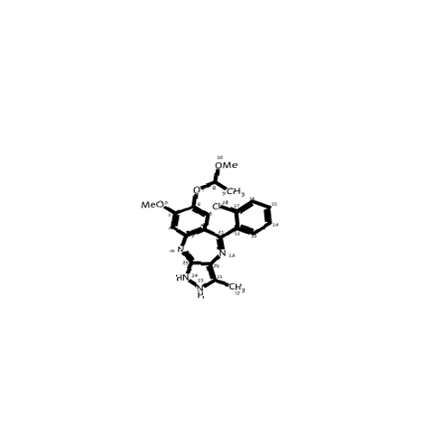 COc1cc2c(cc1OC(C)OC)C(c1ccccc1Cl)=NC1=C(C)NNC1=N2